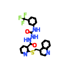 O=C(NNC(=O)c1cccnc1SCc1ccnc2ccccc12)Nc1cccc(C(F)(F)F)c1